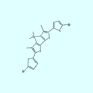 Cc1c(-c2ccc(Br)s2)sc2c1[Si](C)(C)c1c-2sc(-c2ccc(Br)s2)c1C